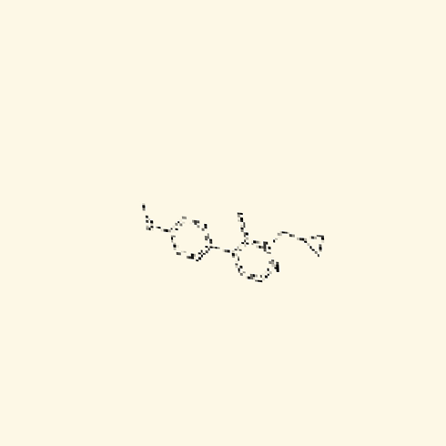 COc1ccc(-c2ccnn(CC3CC3)c2=S)cc1